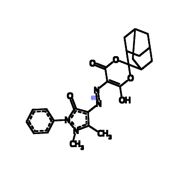 Cc1c(/N=N/C2=C(O)OC3(OC2=O)C2CC4CC(C2)CC3C4)c(=O)n(-c2ccccc2)n1C